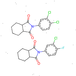 O=C1C2CCCCC2C(=O)N1c1ccc(Cl)c(Cl)c1.O=C1C2CCCCC2C(=O)N1c1ccc(F)c(Cl)c1